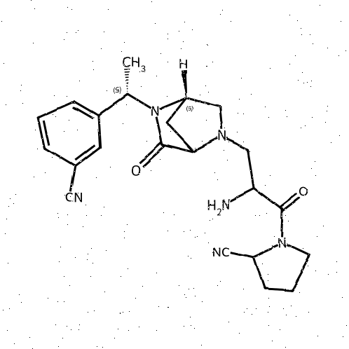 C[C@@H](c1cccc(C#N)c1)N1C(=O)C2C[C@H]1CN2CC(N)C(=O)N1CCCC1C#N